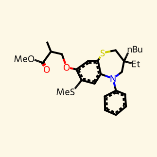 CCCCC1(CC)CSc2cc(OCC(C)C(=O)OC)c(SC)cc2N(c2ccccc2)C1